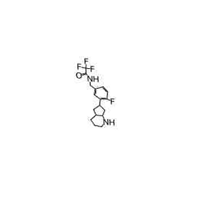 O=C(NCc1ccc(F)c(C2CC3CCCNC3C2)c1)C(F)(F)F